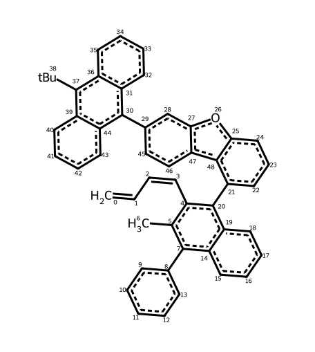 C=C/C=C\c1c(C)c(-c2ccccc2)c2ccccc2c1-c1cccc2oc3cc(-c4c5ccccc5c(C(C)(C)C)c5ccccc45)ccc3c12